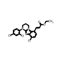 CCOC(=O)/C=C/c1ccc(Cl)c2nc3n(c12)CCCN3c1ccc(Cl)cc1Cl